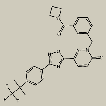 CC(C)(c1ccc(-c2noc(-c3ccc(=O)n(Cc4cccc(C(=O)N5CCC5)c4)n3)n2)cc1)C(F)(F)F